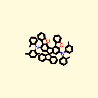 Cc1cccc(N(c2ccccc2C)c2cc3c(c4c2oc2ccccc24)-c2c(cc(N(c4ccccc4C)c4cc(C)ccc4C)c4c2oc2ccccc24)C32c3ccccc3-c3ccccc32)c1